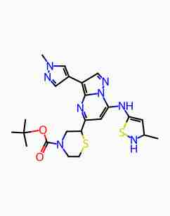 CC1C=C(Nc2cc(C3CN(C(=O)OC(C)(C)C)CCS3)nc3c(-c4cnn(C)c4)cnn23)SN1